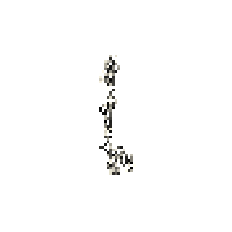 O=C1CCC(CNc2ccc(C3CCN(CC(=O)N4CCN(c5ccc(-c6cc(F)c7c(c6)C(=O)N(C(C(=O)Nc6nccs6)c6ncn8c6CCC8)C7)cc5)CC4)CC3)cc2)C(=O)N1